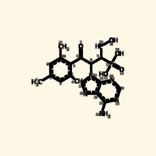 Cc1cc(C)c(C(=O)C(C(PO)P(=O)(O)O)n2cnc3c(N)ncnc32)c(C)c1